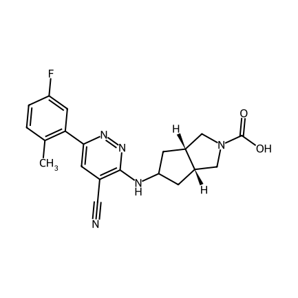 Cc1ccc(F)cc1-c1cc(C#N)c(NC2C[C@@H]3CN(C(=O)O)C[C@@H]3C2)nn1